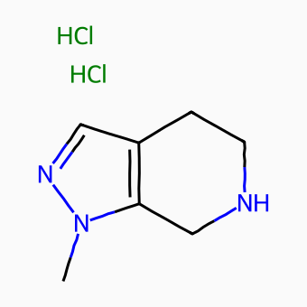 Cl.Cl.Cn1ncc2c1CNCC2